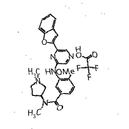 COc1ccc(C(=O)N(C)C2CCN(C)C2)cc1Nc1cncc(-c2cc3ccccc3o2)n1.O=C(O)C(F)(F)F